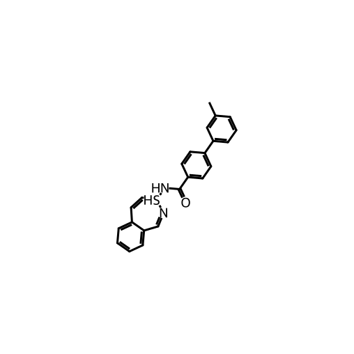 Cc1cccc(-c2ccc(C(=O)N[SH]3C=Cc4ccccc4C=N3)cc2)c1